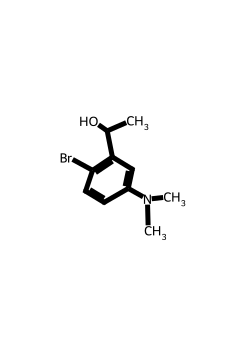 CC(O)c1cc(N(C)C)ccc1Br